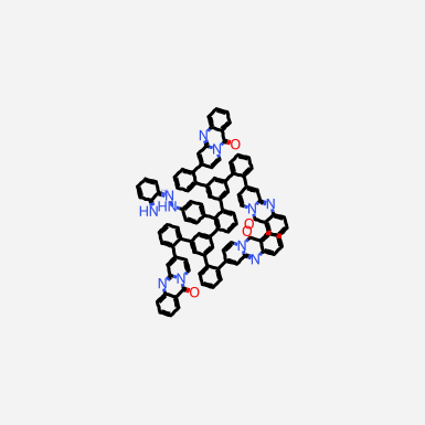 N=C1C=CC=C/C1=N/Nc1ccc(-c2c(-c3cc(-c4ccccc4-c4ccn5c(=O)c6ccccc6nc5c4)cc(-c4ccccc4-c4ccn5c(=O)c6ccccc6nc5c4)c3)cccc2-c2cc(-c3ccccc3-c3ccn4c(=O)c5ccccc5nc4c3)cc(-c3ccccc3-c3ccn4c(=O)c5ccccc5nc4c3)c2)cc1